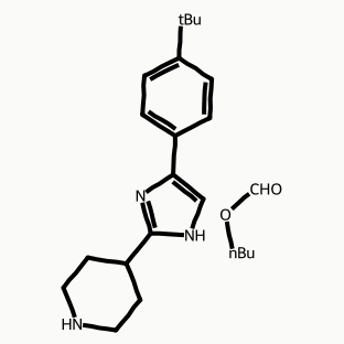 CC(C)(C)c1ccc(-c2c[nH]c(C3CCNCC3)n2)cc1.CCCCOC=O